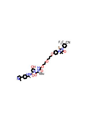 CC1=C(c2ccc([C@H](C)NC(=O)[C@@H]3C[C@@H](O)CN3C(=O)[C@@H](NC(=O)COCCCOCCCCOc3ccc(N4C(=S)N(c5ccc(C#N)c(C(F)(F)F)c5)C(=O)C4(C)C)cc3)C(C)(C)C)cc2)CC=N1